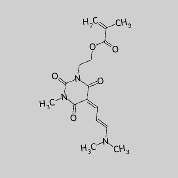 C=C(C)C(=O)OCCN1C(=O)/C(=C/C=C/N(C)C)C(=O)N(C)C1=O